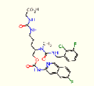 CN(C(=O)NCc1cccc(F)c1Cl)C(CCCNC(=O)NCC(=O)O)COC(=O)Nc1cc2cc(F)ccc2cn1